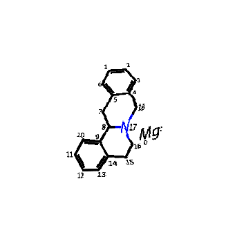 [Mg].c1ccc2c(c1)CC1c3ccccc3CCN1C2